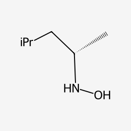 CC(C)C[C@H](C)NO